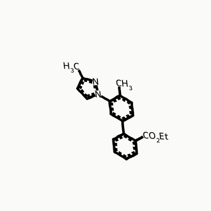 CCOC(=O)c1ccccc1-c1ccc(C)c(-n2ccc(C)n2)c1